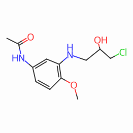 COc1ccc(NC(C)=O)cc1NCC(O)CCl